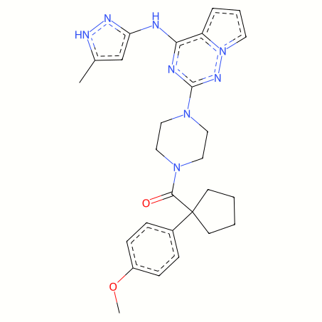 COc1ccc(C2(C(=O)N3CCN(c4nc(Nc5cc(C)[nH]n5)c5cccn5n4)CC3)CCCC2)cc1